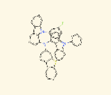 Fc1cccc(-n2c3ccccc3c3cccc(N(c4ccc5c(c4)sc4ccccc45)c4cccc5c4c4ccccc4n5-c4ccccc4)c32)c1